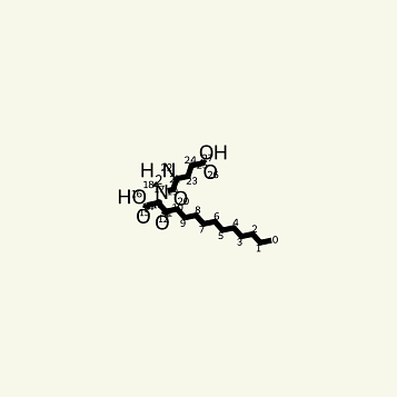 CCCCCCCCCCCC(=O)C(C(=O)O)N(C)C(=O)C(N)CCC(=O)O